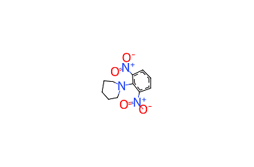 O=[N+]([O-])c1cccc([N+](=O)[O-])c1N1CCCCC1